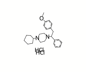 COc1ccc(CC(c2ccccc2)N2CCN(C3CCCCC3)CC2)cc1.Cl.Cl